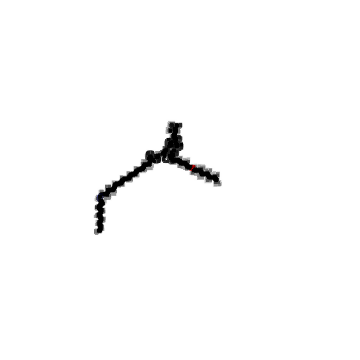 CCCCCCCC/C=C\CCCCCCCCCCCCCC(=O)OC[C@H](COP(=O)([O-])OCC[N+](C)(C)C)OC(=O)CCCCCCCCCCCCC